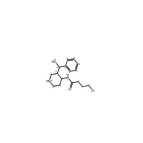 O=C(CCCCl)NC1CCNCC1C(O)c1ccccc1